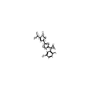 Cc1ccc(F)cc1C1(c2noc(-c3cc(C(F)F)n(C)n3)n2)CC1